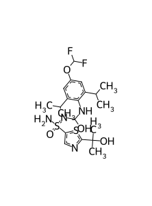 CC(C)c1cc(OC(F)F)cc(C(C)C)c1NC(O)N=S(N)(=O)c1cnc(C(C)(C)O)s1